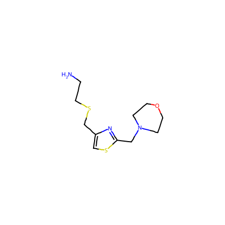 NCCSCc1csc(CN2CCOCC2)n1